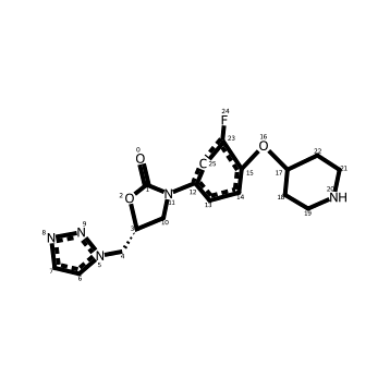 O=C1O[C@@H](Cn2ccnn2)CN1c1ccc(OC2CCNCC2)c(F)c1